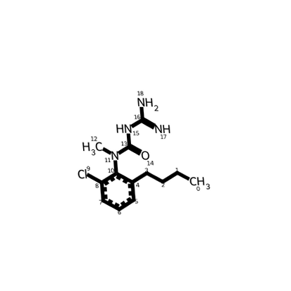 CCCCc1cccc(Cl)c1N(C)C(=O)NC(=N)N